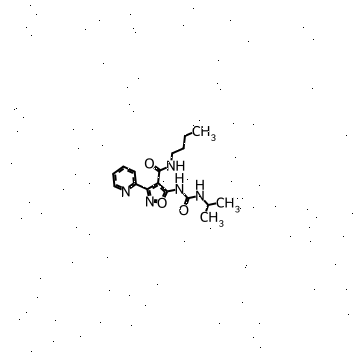 CCCCNC(=O)c1c(-c2ccccn2)noc1NC(=O)NC(C)C